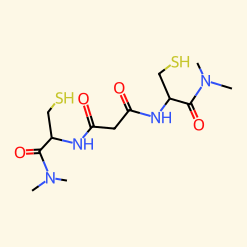 CN(C)C(=O)C(CS)NC(=O)CC(=O)NC(CS)C(=O)N(C)C